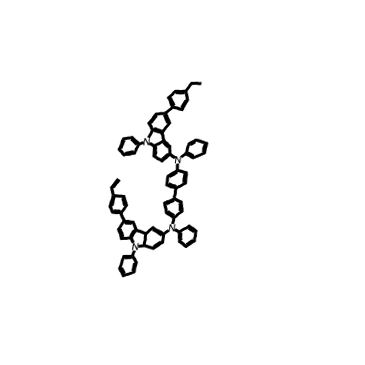 C=Cc1ccc(-c2ccc3c(c2)C2C=C(N(c4ccccc4)c4ccc(-c5ccc(N(c6ccccc6)c6ccc7c(c6)c6cc(-c8ccc(CC)cc8)ccc6n7-c6ccccc6)cc5)cc4)C=CC2N3c2ccccc2)cc1